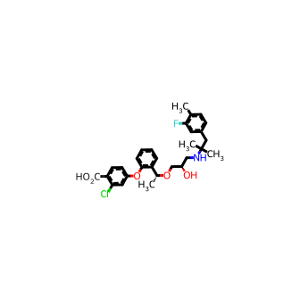 Cc1ccc(CC(C)(C)NC[C@@H](O)CO[C@H](C)c2ccccc2Oc2ccc(C(=O)O)c(Cl)c2)cc1F